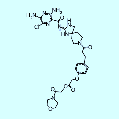 Nc1nc(N)c(C(=O)/N=C2\NCC3(CCN(C(=O)CCc4ccc(OCC(=O)OCC(=O)N5CCOCC5)cc4)CC3)N2)nc1Cl